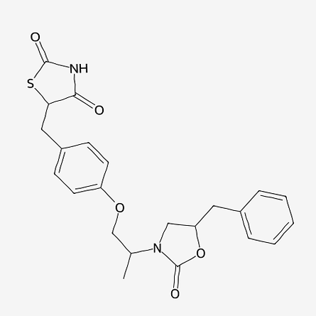 CC(COc1ccc(CC2SC(=O)NC2=O)cc1)N1CC(Cc2ccccc2)OC1=O